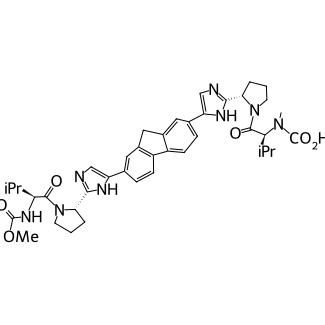 COC(=O)N[C@H](C(=O)N1CCC[C@H]1c1ncc(-c2ccc3c(c2)Cc2cc(-c4cnc([C@@H]5CCCN5C(=O)[C@H](C(C)C)N(C)C(=O)O)[nH]4)ccc2-3)[nH]1)C(C)C